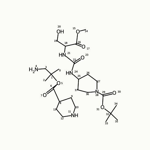 CC(C)(CN)OC(=O)C1CCNCC1.COC(=O)C(CO)NC(=O)NC1CCN(C(=O)OC(C)(C)C)CC1